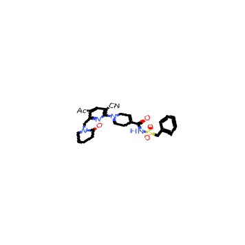 CC(=O)c1cc(C#N)c(N2CCC(C(=O)NS(=O)(=O)Cc3ccccc3)CC2)nc1CN1CCCCC1=O